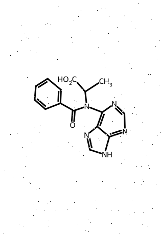 CC(C(=O)O)N(C(=O)c1ccccc1)c1ncnc2[nH]cnc12